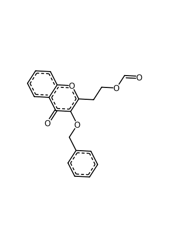 O=COCCc1oc2ccccc2c(=O)c1OCc1ccccc1